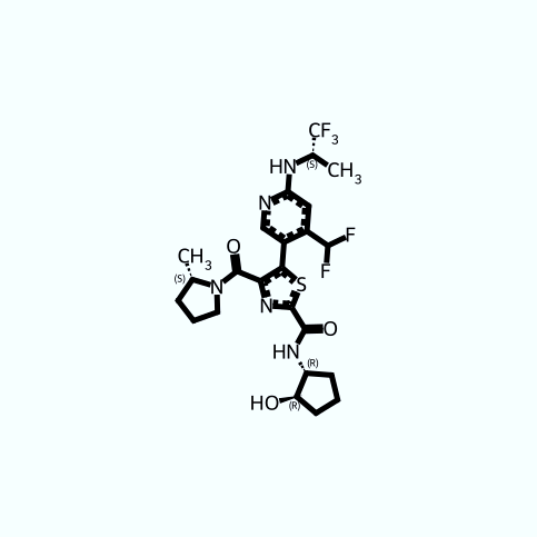 C[C@H](Nc1cc(C(F)F)c(-c2sc(C(=O)N[C@@H]3CCC[C@H]3O)nc2C(=O)N2CCC[C@@H]2C)cn1)C(F)(F)F